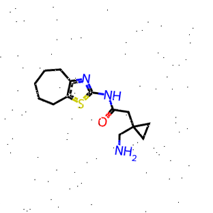 NCC1(CC(=O)Nc2nc3c(s2)CCCCC3)CC1